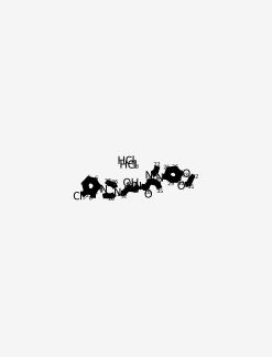 Cc1c(Cl)cccc1N1CCN(CC(O)CNC(=O)c2nc(C)n(-c3ccc4c(c3)OCCO4)c2C)CC1.Cl.Cl